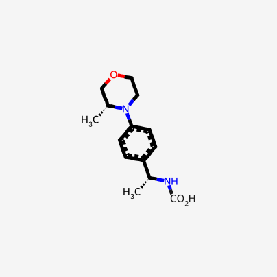 C[C@@H]1COCCN1c1ccc([C@@H](C)NC(=O)O)cc1